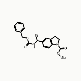 CCC(NC(=O)OCc1ccccc1)c1ccc2c(c1)CCN2C(=O)OC(C)(C)C